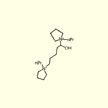 CCC[N+]1(CCCCC(O)[N+]2(CCC)CCCC2)CCCC1